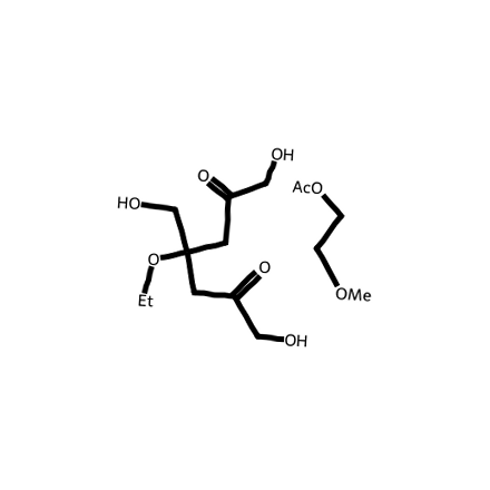 CCOC(CO)(CC(=O)CO)CC(=O)CO.COCCOC(C)=O